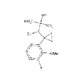 CCC(C1(c2cccc(F)c2OC)CC1)C(O)(C(=O)O)C(F)(F)F